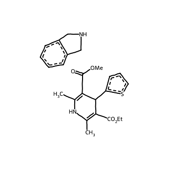 CCOC(=O)C1=C(C)NC(C)=C(C(=O)OC)C1c1cccs1.c1ccc2c(c1)CNC2